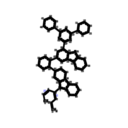 C=C/C=C(\C=C/C)n1c2ccccc2c2ccc(-c3ccccc3-c3cc(-c4nc(-c5ccccc5)nc(-c5ccccc5)n4)c4sc5ccccc5c4c3)cc21